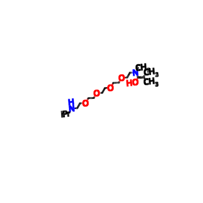 CC(C)=C(O)N(C)CCOCCOCCOCCOCCNC(C)C